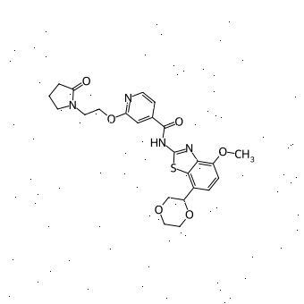 COc1ccc(C2COCCO2)c2sc(NC(=O)c3ccnc(OCCN4CCCC4=O)c3)nc12